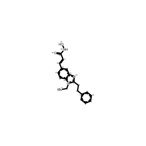 CC(C)(C)Cn1c(CCc2ccccc2)nc2cc(C=CC(=O)NO)ccc21